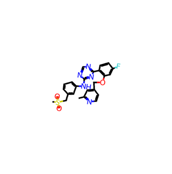 Cc1cc(COc2cc(F)ccc2-c2ncnc(Nc3cccc(CS(C)(=O)=O)c3)n2)ccn1